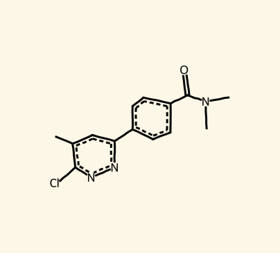 Cc1cc(-c2ccc(C(=O)N(C)C)cc2)nnc1Cl